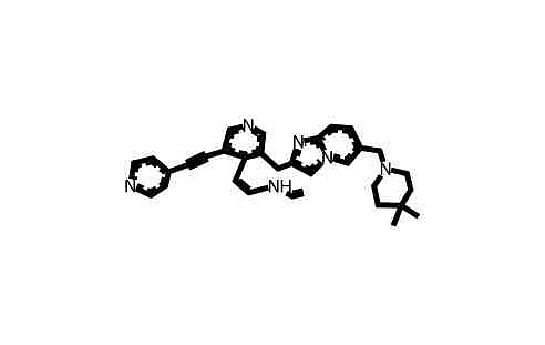 C=CN/C=C\c1c(C#Cc2ccncc2)cncc1Cc1cn2cc(CN3CCC(C)(C)CC3)ccc2n1